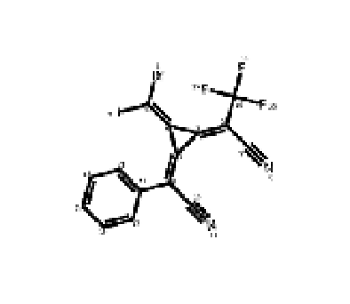 N#C/C(=C1/C(=C(Br)I)/C1=C(/C#N)c1ccccc1)C(F)(F)F